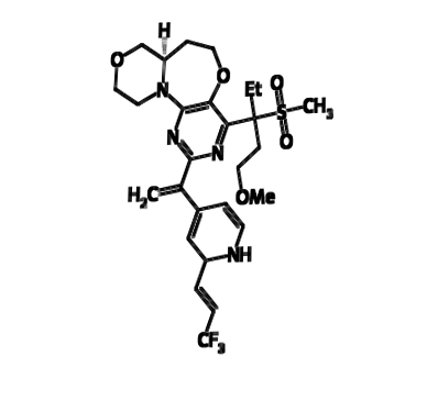 C=C(C1=CC(/C=C/C(F)(F)F)NC=C1)c1nc2c(c(C(CC)(CCOC)S(C)(=O)=O)n1)OCC[C@@H]1COCCN21